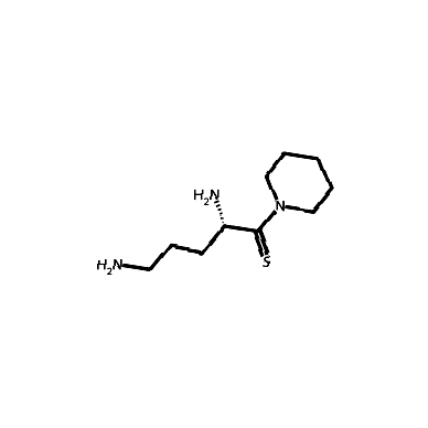 NCCC[C@H](N)C(=S)N1CCCCC1